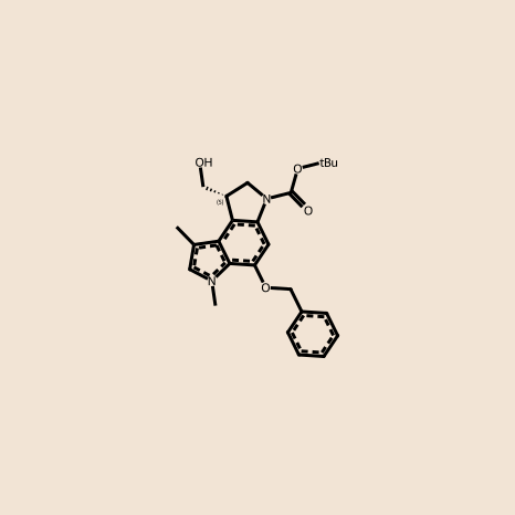 Cc1cn(C)c2c(OCc3ccccc3)cc3c(c12)[C@H](CO)CN3C(=O)OC(C)(C)C